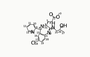 COC(=O)CC[C@@H]1N=C(c2ccccn2)c2cc(Cl)ccc2N=C1NCC(C)O